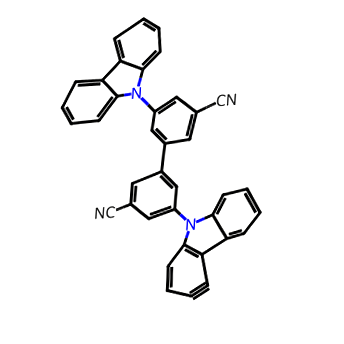 N#Cc1cc(-c2cc(C#N)cc(-n3c4ccccc4c4ccccc43)c2)cc(-n2c3ccc#cc3c3ccccc32)c1